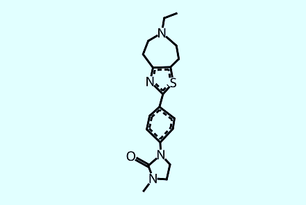 CCN1CCc2nc(-c3ccc(N4CCN(C)C4=O)cc3)sc2CC1